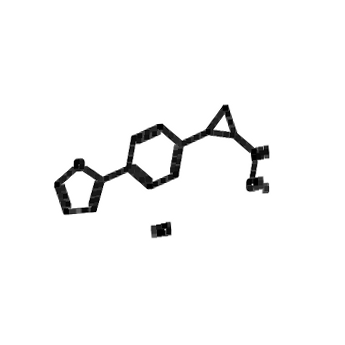 CNC1CC1c1ccc(-c2ccco2)cc1.Cl